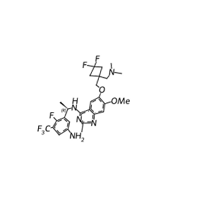 COc1cc2nc(C)nc(N[C@H](C)c3cc(N)cc(C(F)(F)F)c3F)c2cc1OCC1(CN(C)C)CC(F)(F)C1